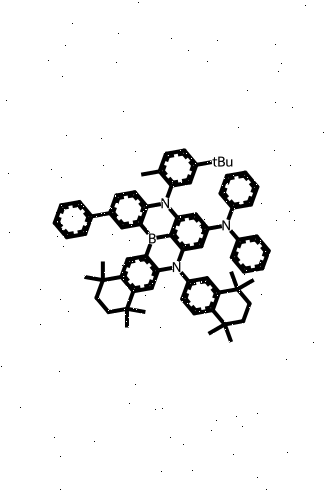 Cc1ccc(C(C)(C)C)cc1N1c2ccc(-c3ccccc3)cc2B2c3cc4c(cc3N(c3ccc5c(c3)C(C)(C)CCC5(C)C)c3cc(N(c5ccccc5)c5ccccc5)cc1c32)C(C)(C)CCC4(C)C